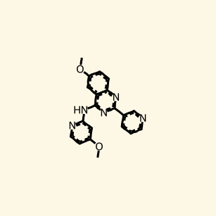 COc1ccnc(Nc2nc(-c3cccnc3)nc3ccc(OC)cc23)c1